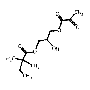 CCC(C)(C)C(=O)OCC(O)COC(=O)C(C)=O